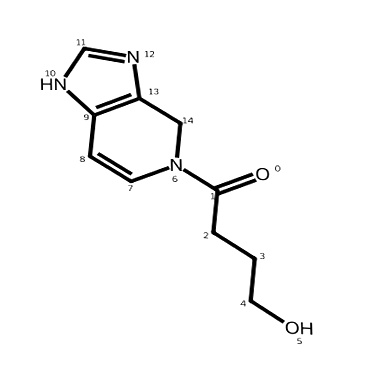 O=C(CCCO)N1C=Cc2[nH]cnc2C1